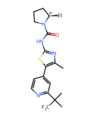 CC[C@@H]1CCCN1C(=O)Nc1nc(C)c(-c2ccnc(C(C)(C)C(F)(F)F)c2)s1